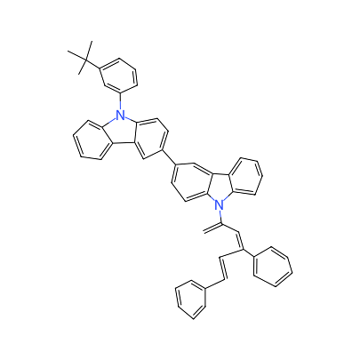 C=C(/C=C(\C=C\c1ccccc1)c1ccccc1)n1c2ccccc2c2cc(-c3ccc4c(c3)c3ccccc3n4-c3cccc(C(C)(C)C)c3)ccc21